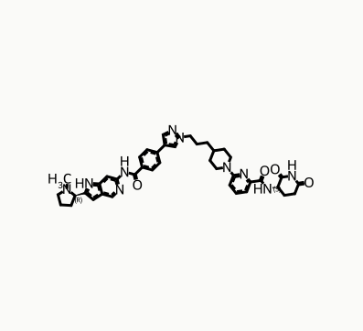 CN1CCC[C@@H]1c1cc2cnc(NC(=O)c3ccc(-c4cnn(CCCC5CCN(c6cccc(C(=O)N[C@H]7CCC(=O)NC7=O)n6)CC5)c4)cc3)cc2[nH]1